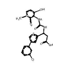 Cn1ccc(O)c(NC(=O)NC(CC(=O)O)c2cc(-c3cccc(Cl)c3)cs2)c1=O